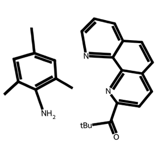 CC(C)(C)C(=O)c1ccc2ccc3cccnc3c2n1.Cc1cc(C)c(N)c(C)c1